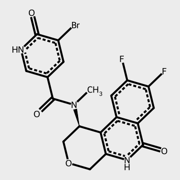 CN(C(=O)c1c[nH]c(=O)c(Br)c1)[C@@H]1COCc2[nH]c(=O)c3cc(F)c(F)cc3c21